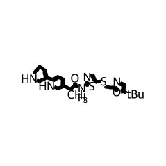 CC(C(=O)Nc1ncc(SCc2ncc(C(C)(C)C)o2)s1)C1=CC=C(C2=CCCNC2)NC1